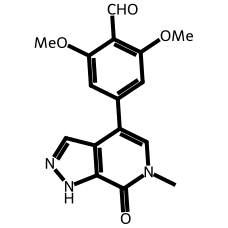 COc1cc(-c2cn(C)c(=O)c3[nH]ncc23)cc(OC)c1C=O